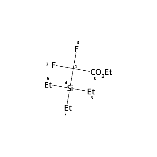 CCOC(=O)C(F)(F)[Si](CC)(CC)CC